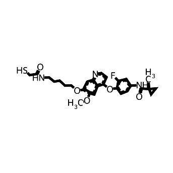 COc1cc2c(Oc3ccc(NC(=O)C4(C)CC4)cc3F)ccnc2cc1OCCCCCNC(=O)CS